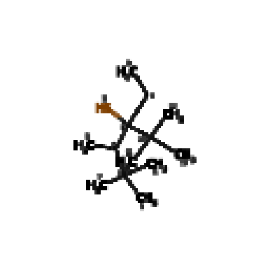 CCC(S)(C(C)C(C)(C)C)C(C)(C)C